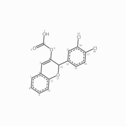 O=C(O)OC1=Cc2ccccc2OC1c1ccc(Cl)c(Cl)c1